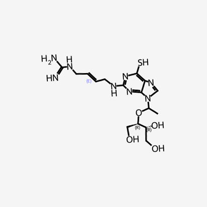 CC(O[C@H](CO)[C@H](O)CO)n1cnc2c(S)nc(NC/C=C/CNC(=N)N)nc21